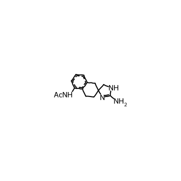 CC(=O)Nc1cccc2c1CCC1(CNC(N)=N1)C2